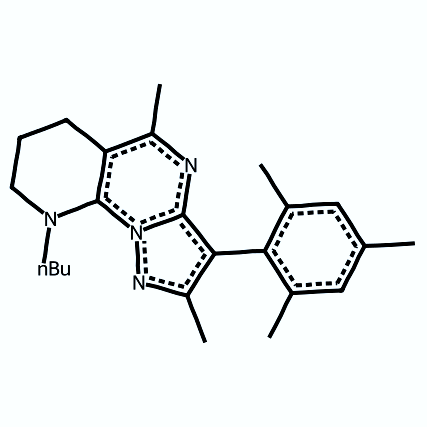 CCCCN1CCCc2c(C)nc3c(-c4c(C)cc(C)cc4C)c(C)nn3c21